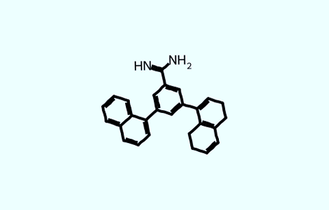 N=C(N)c1cc(C2=CCCC3=C2CCC=C3)cc(-c2cccc3ccccc23)c1